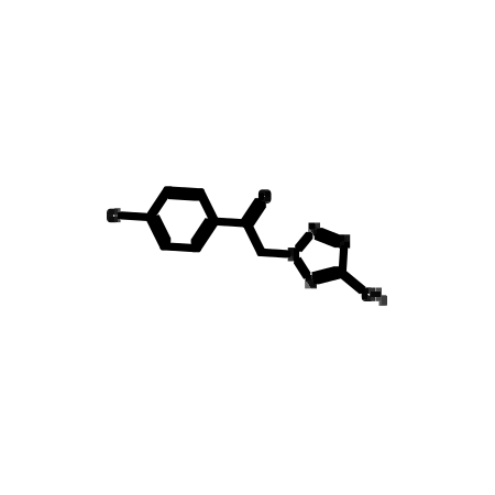 Cc1nnn(CC(=O)c2ccc(Cl)cc2)n1